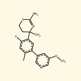 COc1cncc(-c2cc(C3(C)CCSC(N)=N3)c(F)cc2F)c1